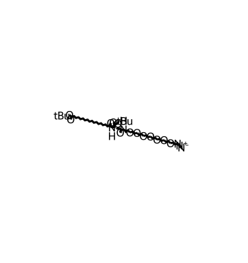 CC(C)(C)OC(=O)CCCCCCCCCCCCCCCCC(=O)N[C@@H](CCC(=O)NCCOCCOCCOCCOCCOCCOCCOCCN=[N+]=[N-])C(=O)OC(C)(C)C